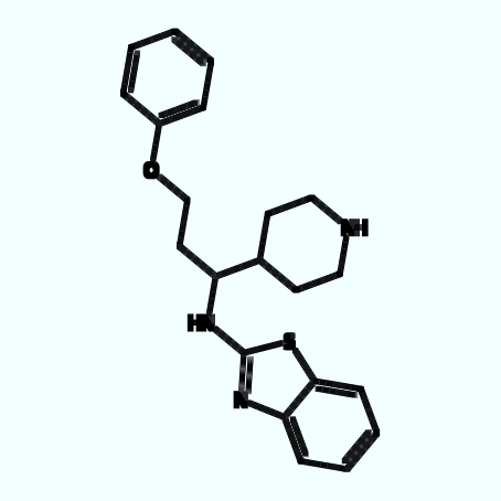 c1ccc(OCCC(Nc2nc3ccccc3s2)C2CCNCC2)cc1